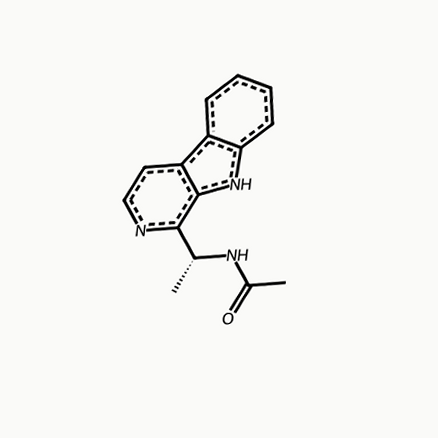 CC(=O)N[C@H](C)c1nccc2c1[nH]c1ccccc12